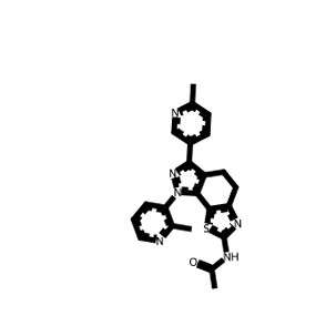 CC(=O)Nc1nc2c(s1)-c1c(c(-c3ccc(C)nc3)nn1-c1cccnc1C)CC2